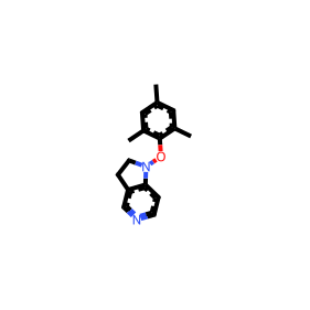 Cc1cc(C)c(ON2CCc3cnccc32)c(C)c1